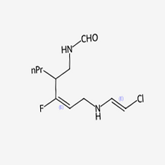 CCCC(CNC=O)/C(F)=C\CN/C=C/Cl